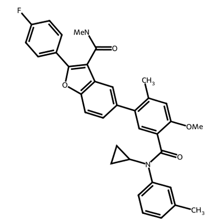 CNC(=O)c1c(-c2ccc(F)cc2)oc2ccc(-c3cc(C(=O)N(c4cccc(C)c4)C4CC4)c(OC)cc3C)cc12